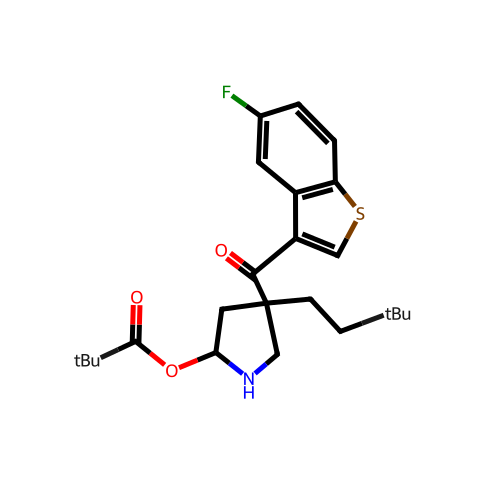 CC(C)(C)CCC1(C(=O)c2csc3ccc(F)cc23)CNC(OC(=O)C(C)(C)C)C1